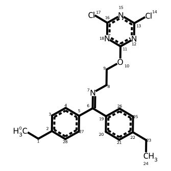 CCc1ccc(C(=NCCOc2nc(Cl)nc(Cl)n2)c2ccc(CC)cc2)cc1